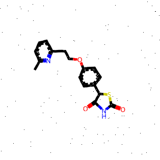 Cc1cccc(CCOc2ccc(C3SC(=O)NC3=O)cc2)n1